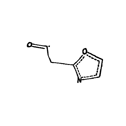 O=[C]Cc1ncco1